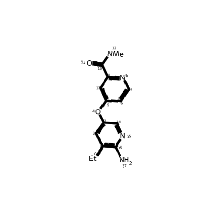 CCc1cc(Oc2ccnc(C(=O)NC)c2)cnc1N